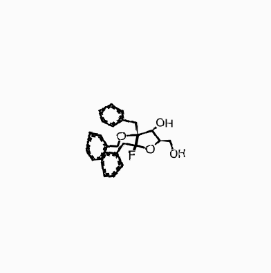 OC[C@H]1OC(F)(Cc2ccccc2)[C@](Cc2ccccc2)(OCc2ccccc2)[C@H]1O